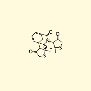 CC1(C)SCC(=O)C1N1C(=O)C2=CC=CC(C3C(=O)CSC3(C)C)(C2)C1=O